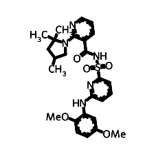 COc1ccc(OC)c(Nc2cccc(S(=O)(=O)NC(=O)c3cccnc3N3CC(C)CC3(C)C)n2)c1